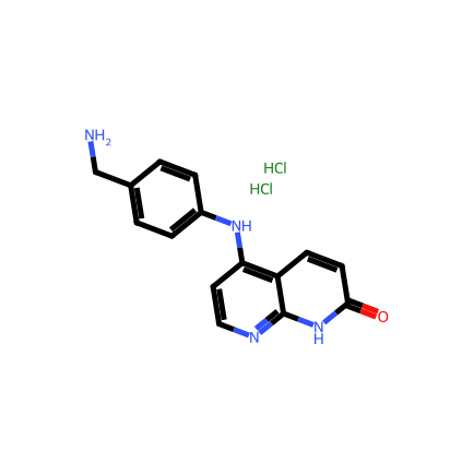 Cl.Cl.NCc1ccc(Nc2ccnc3[nH]c(=O)ccc23)cc1